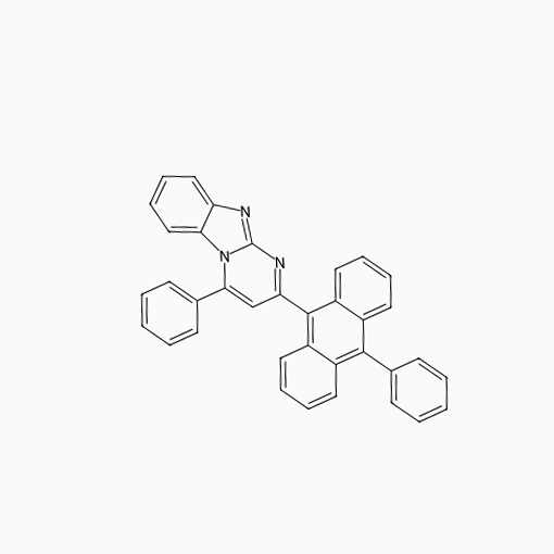 c1ccc(-c2c3ccccc3c(-c3cc(-c4ccccc4)n4c(n3)nc3ccccc34)c3ccccc23)cc1